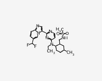 CCN(c1ccnc(-c2cnc3ccc(C(F)F)cn23)n1)C1CCC(C)CC1CNS(C)(=O)=O